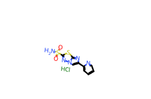 Cl.NS(=O)(=O)c1nn2cc(-c3ccccn3)nc2s1